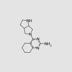 Nc1nc2c(c(N3CC4CCNC4C3)n1)CCCC2